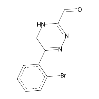 O=CC1=NN=C(c2ccccc2Br)CN1